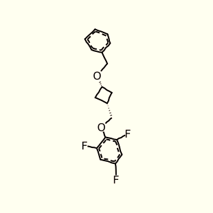 Fc1cc(F)c(OC[C@H]2C[C@@H](OCc3ccccc3)C2)c(F)c1